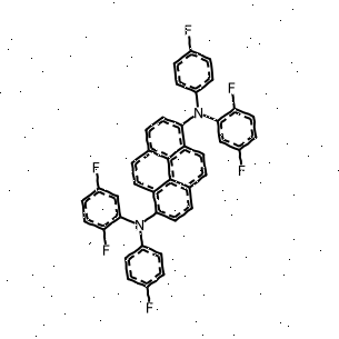 Fc1ccc(N(c2cc(F)ccc2F)c2ccc3ccc4c(N(c5ccc(F)cc5)c5cc(F)ccc5F)ccc5ccc2c3c54)cc1